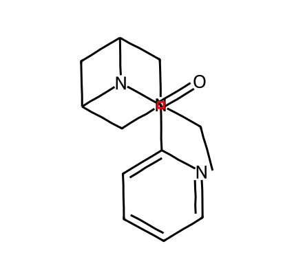 CCN1CC2CC(C1)N2C(=O)c1ccccn1